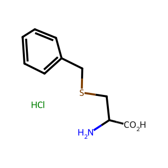 Cl.NC(CSCc1ccccc1)C(=O)O